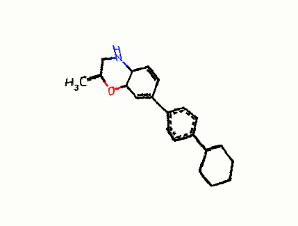 CC1CNC2C=CC(c3ccc(C4CCCCC4)cc3)=CC2O1